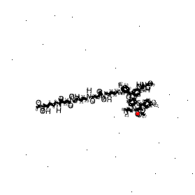 CC(=O)N(O)CCCCCNC(=O)CCC(=O)N(O)CCCCCNC(=O)CCC(=O)N(O)CCCCCN.COC(=O)Nc1nc2cc(C(=O)c3ccc(F)cc3)ccc2[nH]1.COc1ccc([C@@H]2Sc3ccccc3N(CCN(C)C)C(=O)[C@@H]2OC(C)=O)cc1